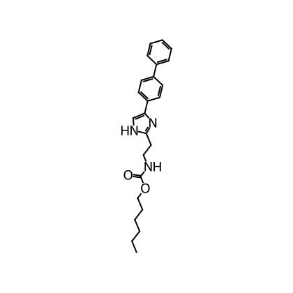 CCCCCCOC(=O)NCCc1nc(-c2ccc(-c3ccccc3)cc2)c[nH]1